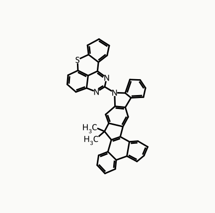 CC1(C)c2cc3c(cc2-c2c1c1ccccc1c1ccccc21)c1ccccc1n3-c1nc2c3c(cccc3n1)Sc1ccccc1-2